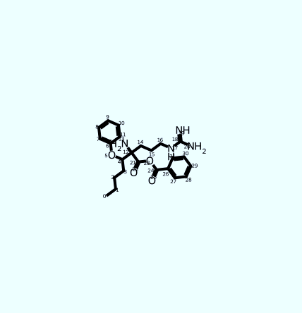 CCCCC(Oc1ccccc1)C(N)(CCCNC(=N)N)C(=O)OC(=O)c1ccccc1